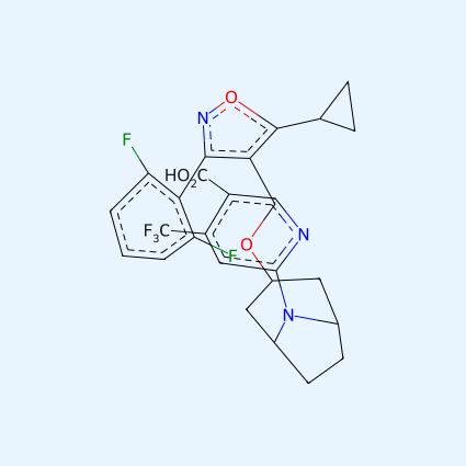 O=C(O)c1cnc(N2C3CCC2CC(OCc2c(-c4c(F)cccc4F)noc2C2CC2)C3)cc1C(F)(F)F